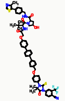 Cc1ncsc1-c1ccc(CNC(=O)C2C[C@@H](O)CN2C(=O)C(NC(=O)COc2ccc(-c3ccc(-c4ccc(COc5ccc(N6C(=S)N(c7ccc(C#N)c(C(F)(F)F)c7)C(=O)C6(C)C)cc5)cc4)cc3)cc2)C(C)(C)C)cc1